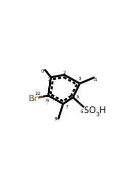 Cc1cc(C)c(S(=O)(=O)O)c(C)c1Br